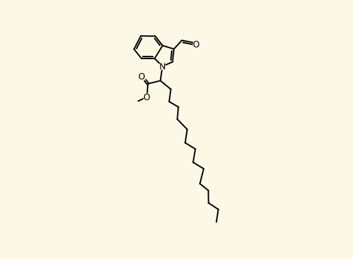 CCCCCCCCCCCCCCC(C(=O)OC)n1cc(C=O)c2ccccc21